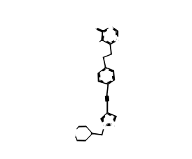 O=c1[nH]cnc(CCc2ccc(C#Cc3cnn(CC4CCOCC4)c3)cc2)c1O